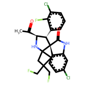 CC(=O)[C@@H]1NC2(CC(CF)(CF)C2)[C@@]2(C(=O)Nc3cc(Cl)ccc32)[C@H]1c1cccc(Cl)c1F